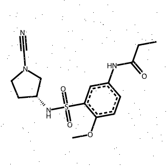 CCC(=O)Nc1ccc(OC)c(S(=O)(=O)N[C@@H]2CCN(C#N)C2)c1